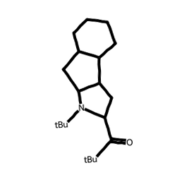 CC(C)(C)C(=O)C1CC2C3CCCCC3CC2N1C(C)(C)C